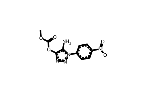 COC(=O)Oc1nnn(-c2ccc([N+](=O)[O-])cc2)c1N